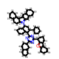 c1ccc(-c2cc(-n3c4cc5ccccc5cc4c4c5ccccc5ccc43)c3ccccc3c2-c2nc(-c3ccc4ccccc4c3)nc(-c3cccc4c3oc3ccccc34)n2)cc1